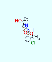 CCC(O)c1csc(NS(=O)(=O)c2cccc(Cl)c2C)n1